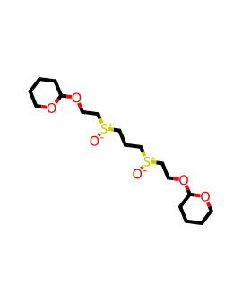 [O-][S+](CCC[S+]([O-])CCOC1CCCCO1)CCOC1CCCCO1